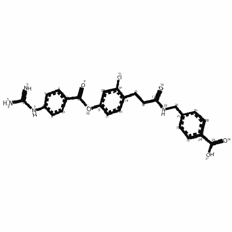 N=C(N)Nc1ccc(C(=O)Oc2ccc(CCC(=O)NCc3ccc(C(=O)O)cc3)c(Cl)c2)cc1